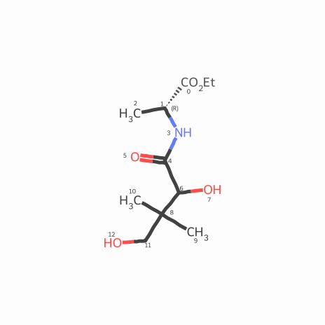 CCOC(=O)[C@@H](C)NC(=O)C(O)C(C)(C)CO